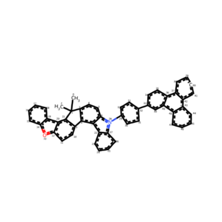 CC1(C)c2ccc3c(c2-c2ccc4oc5ccccc5c4c21)c1ccccc1n3-c1ccc(-c2ccc3c4ccccc4c4ccccc4c3c2)cc1